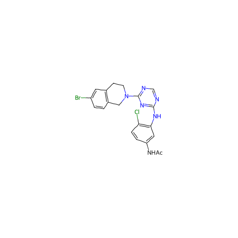 CC(=O)Nc1ccc(Cl)c(Nc2ncnc(N3CCc4cc(Br)ccc4C3)n2)c1